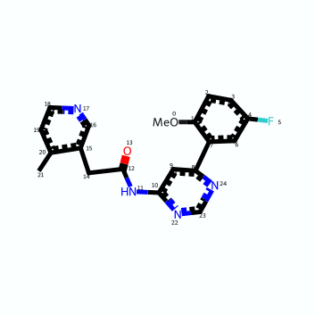 COc1ccc(F)cc1-c1cc(NC(=O)Cc2cnccc2C)ncn1